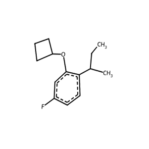 CCC(C)c1ccc(F)cc1OC1CCC1